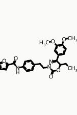 CCC1OC(=O)N(CCc2ccc(NC(=O)c3ccco3)cc2)N=C1c1ccc(OC)c(OC)c1